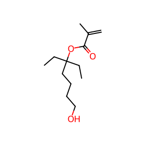 C=C(C)C(=O)OC(CC)(CC)CCCCO